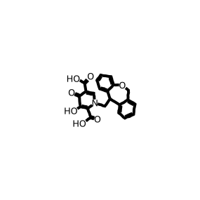 O=C(O)c1cn(CC2c3ccccc3COc3ccccc32)c(C(=O)O)c(O)c1=O